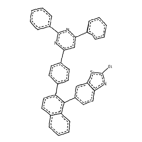 CCc1nc2ccc(-c3c(-c4ccc(-c5cc(-c6ccccc6)nc(-c6ccccc6)n5)cc4)ccc4ccccc34)cc2s1